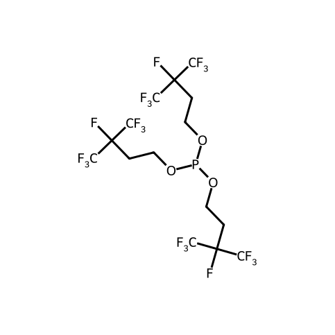 FC(F)(F)C(F)(CCOP(OCCC(F)(C(F)(F)F)C(F)(F)F)OCCC(F)(C(F)(F)F)C(F)(F)F)C(F)(F)F